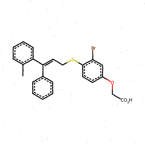 Cc1ccccc1C(=CCSc1ccc(OCC(=O)O)cc1Br)c1ccccc1